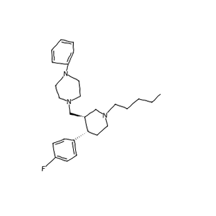 CCCCCN1CC[C@H](c2ccc(F)cc2)[C@@H](CN2CCN(c3ccccc3)CC2)C1